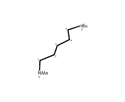 [C]NCCCCCCCCC